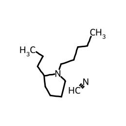 C#N.CCCCCN1CCCCC1CCC